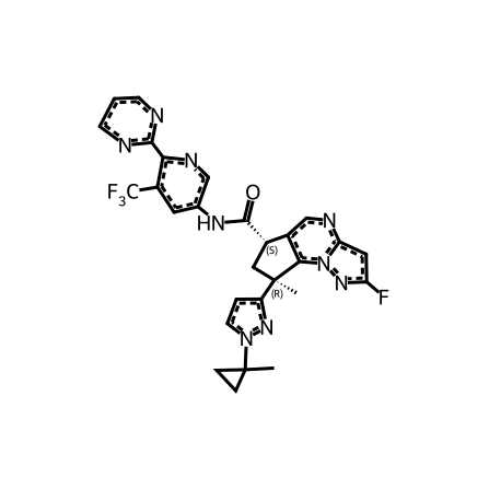 CC1(n2ccc([C@@]3(C)C[C@H](C(=O)Nc4cnc(-c5ncccn5)c(C(F)(F)F)c4)c4cnc5cc(F)nn5c43)n2)CC1